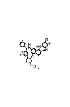 CCN1CCC(N2C=C(C(Nc3cc(Cl)c4ncc(C#N)c(Nc5ccc(F)c(Cl)c5)c4c3)c3cncnc3)NN2)CC1